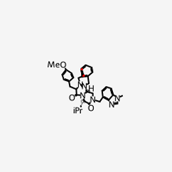 C=CCN1C(Cc2ccc(OC)cc2)C(=O)N2[C@@H](CC(C)C)C(=O)N(Cc3cccc4c3ncn4C)C[C@@H]2N1Cc1ccccc1